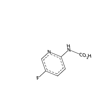 O=C(O)Nc1ccc(F)cn1